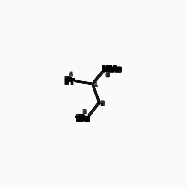 CNC(CC(C)(C)C)C(C)C